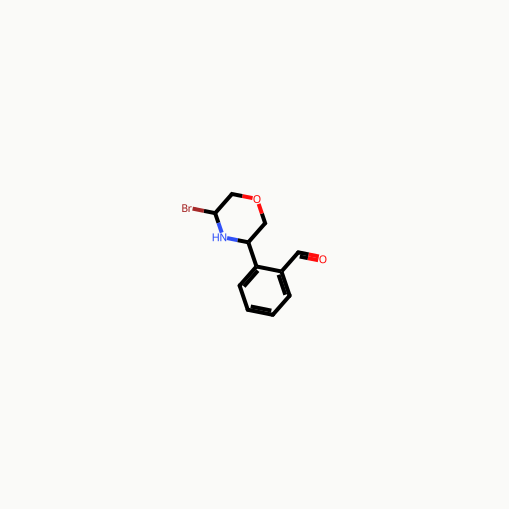 O=Cc1ccccc1C1COCC(Br)N1